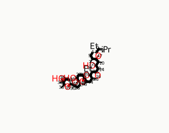 CC[C@H](C(C)C)[C@H]1CC[C@H](C)[C@H]([C@@H](C)[C@H](O)[C@H](C)C(=O)[C@H](CC)[C@H]2O[C@]3(C=C[C@@H](O)[C@]4(CC[C@@](C)([C@H]5CC[C@@](C)(O)[C@H](C)O5)O4)O3)[C@H](C)C[C@@H]2C)O1